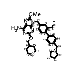 COc1nc2c(N)nc(OCC3CCOCC3)nc2n1Cc1ccc(-c2ccc(CN3CCCC3)cc2)c(CF)c1